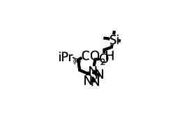 CC(C)[C@@H](Cc1nnnn1COCC[Si](C)(C)C)C(=O)O